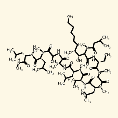 CC[C@H](NC(=O)C([C@H](O)[C@H](C)CCCCCCO)N(C)C(=O)CC(C)C)C(=O)N(C)CC(=O)N(C)[C@@H](CC(C)C)C(=O)N[C@H](C(=O)N(C)[C@@H](CC(C)C)C(=O)N[C@H](C)C(=O)NC(C)C(=O)N(C)[C@@H](CC(C)C)C(=O)N(C)[C@@H](CC(C)C)C(=O)NC)C(C)C